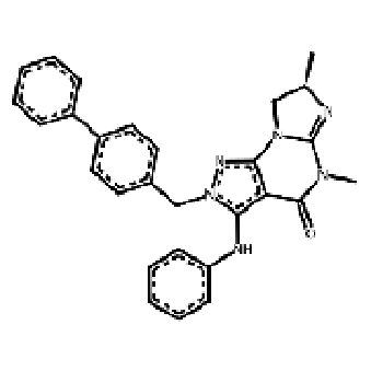 C[C@@H]1CN2C(=N1)N(C)C(=O)c1c2nn(Cc2ccc(-c3ccccc3)cc2)c1Nc1ccccc1